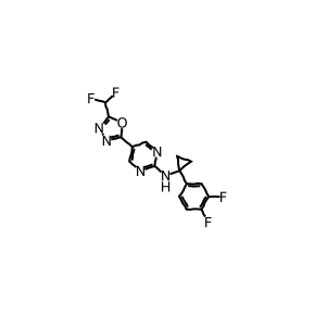 Fc1ccc(C2(Nc3ncc(-c4nnc(C(F)F)o4)cn3)CC2)cc1F